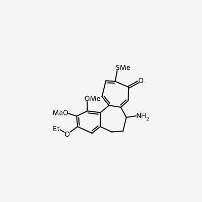 CCOc1cc2c(c(OC)c1OC)-c1ccc(SC)c(=O)cc1C(N)CC2